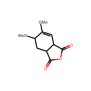 COC1=CC2C(=O)OC(=O)C2CC1OC